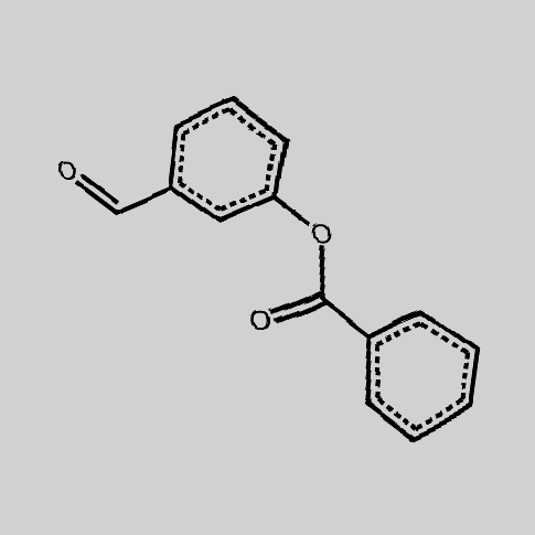 O=Cc1cccc(OC(=O)c2ccccc2)c1